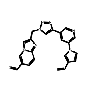 C=Cc1ccn(-c2cncc(-c3cn(Cc4cn5cc(C=O)ccc5n4)nn3)c2)c1